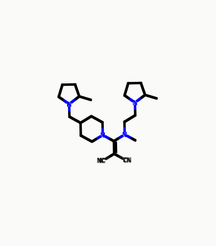 CC1CCCN1CCN(C)C(=C(C#N)C#N)N1CCC(CN2CCCC2C)CC1